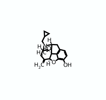 C=C1C[C@H]2C[C@]34c5c(ccc(O)c5O[C@@H]13)C[C@@H](N2CC1CC1)[C@@]4(C)O